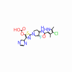 Cc1[nH]c(C(=O)N[C@@H]2CCN(c3nc(-c4cnccn4)c(OC(=O)O)s3)C[C@@H]2F)c(C)c1Cl